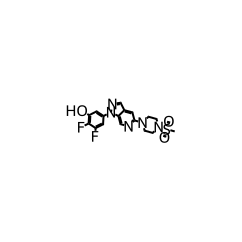 CS(=O)(=O)N1CCN(c2cc3cnn(-c4cc(O)c(F)c(F)c4)c3cn2)CC1